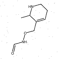 CC1NCCC=C1CONC=O